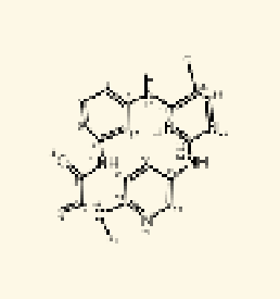 C=CC(=O)Nc1cccc(Nc2nc(Nc3ccc(OC)nc3)ncc2C)c1